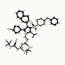 CC(C)c1c(S(=O)(=O)N2CCC(Cc3ccccc3)CC2)c(-c2ccc3ccccc3c2)c(-c2ccc(F)cc2)n1CC[C@@H]1C[C@H](CC(=O)OC(C)(C)C)OC(C)(C)O1